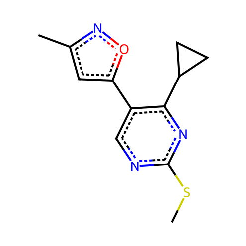 CSc1ncc(-c2cc(C)no2)c(C2CC2)n1